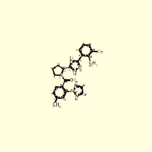 Cc1ccc(C(=O)N2CCC[C@H]2c2noc(-c3cccc(F)c3C)n2)c(-n2nccn2)c1